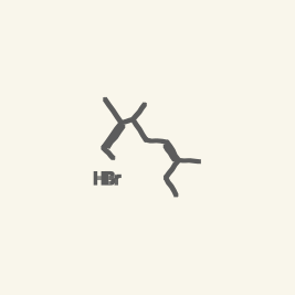 Br.CC=C(C)C(C)CC=C(C)CC